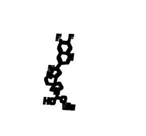 CC(C)(C)OC(O)N1CCC2(CCn3nc(-c4cnc5cc(F)c(F)cc5c4)cc32)C1